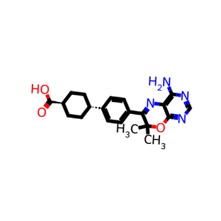 CC1(C)Oc2ncnc(N)c2N=C1c1ccc([C@H]2CC[C@H](C(=O)O)CC2)cc1